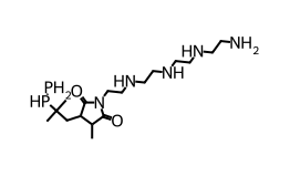 CC1C(=O)N(CCNCCNCCNCCN)C(=O)C1CC(C)(C)PP